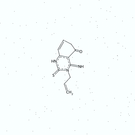 C=CCn1c(=S)[nH]c2c(c1=N)C(=O)CC=C2